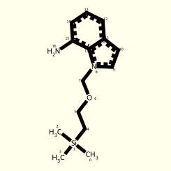 C[Si](C)(C)CCOCn1ccc2cccc(N)c21